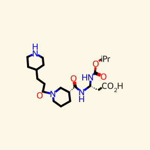 CC(C)OC(=O)N[C@H](CC(=O)O)NC(=O)[C@@H]1CCCN(C(=O)CCC2CCNCC2)C1